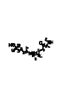 CN[C@@H](C)C(=O)CCC(=O)[C@H](C)NCNCCCS(=O)(=O)O